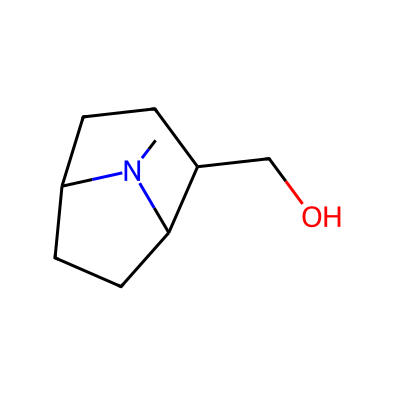 CN1C2CCC(CO)C1CC2